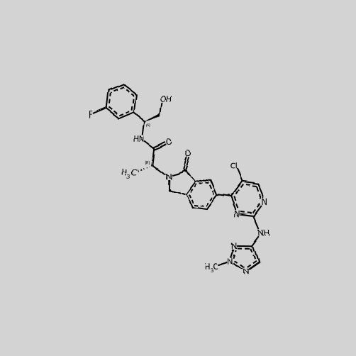 C[C@H](C(=O)N[C@H](CO)c1cccc(F)c1)N1Cc2ccc(-c3nc(Nc4cnn(C)n4)ncc3Cl)cc2C1=O